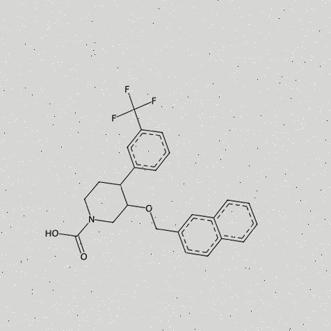 O=C(O)N1CCC(c2cccc(C(F)(F)F)c2)C(OCc2ccc3ccccc3c2)C1